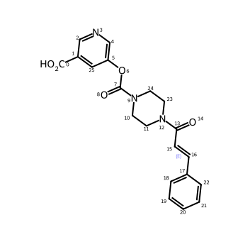 O=C(O)c1cncc(OC(=O)N2CCN(C(=O)/C=C/c3ccccc3)CC2)c1